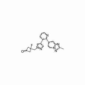 Cc1nc2cc(-c3ncccc3-c3cnn(CC4(F)CC(=O)C4)c3)ccn2n1